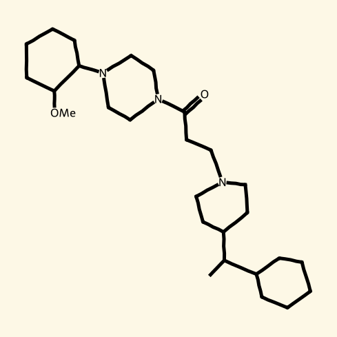 COC1CCCCC1N1CCN(C(=O)CCN2CCC(C(C)C3CCCCC3)CC2)CC1